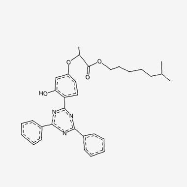 CC(C)CCCCCOC(=O)C(C)Oc1ccc(-c2nc(-c3ccccc3)nc(-c3ccccc3)n2)c(O)c1